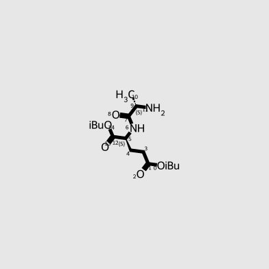 CC(C)COC(=O)CC[C@H](NC(=O)[C@H](C)N)C(=O)OCC(C)C